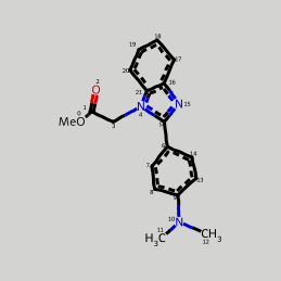 COC(=O)Cn1c(-c2ccc(N(C)C)cc2)nc2ccccc21